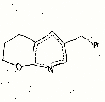 CC(C)Cc1cnc2c(c1)CCCO2